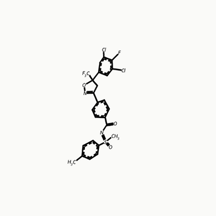 Cc1ccc(S(C)(=O)=NC(=O)c2ccc(C3=NOC(c4cc(Cl)c(F)c(Cl)c4)(C(F)(F)F)C3)cc2)cc1